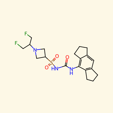 O=C(Nc1c2c(cc3c1CCC3)CCC2)NS(=O)(=O)C1CN(C(CF)CF)C1